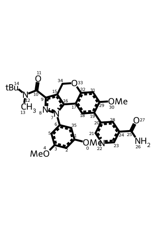 COc1cc(OC)cc(-n2nc(C(=O)N(C)C(C)(C)C)c3c2-c2cc(-c4cncc(C(N)=O)c4)c(OC)cc2OC3)c1